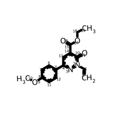 C=Cn1nc(-c2ccc(OC)cc2)cc(C(=O)OCC)c1=O